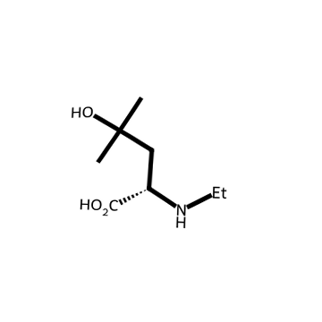 CCN[C@@H](CC(C)(C)O)C(=O)O